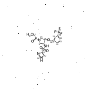 C=CC(=O)N1C[C@@H](NS(=O)(=O)c2c[nH]cn2)[C@H](OCc2cccc(C(F)(F)F)c2)C1